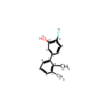 Cc1[c]ccc(-c2ccc(F)c(O)c2)c1C